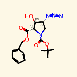 CC(C)(C)OC(=O)N1C[C@@H](N=[N+]=[N-])[C@H](O)[C@H]1C(=O)OCc1ccccc1